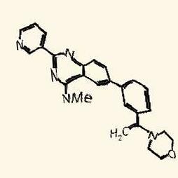 C=C(c1cccc(-c2ccc3nc(-c4cccnc4)nc(NC)c3c2)c1)N1CCOCC1